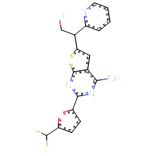 Nc1nc(-c2ccc(C(F)F)o2)nc2sc(C(CO)c3ccccn3)cc12